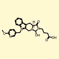 COc1ccc(Cn2c3c(c4ccccc42)C[C@H]2C(=O)N(CCCC(=O)O)C(O)N2C3)cn1